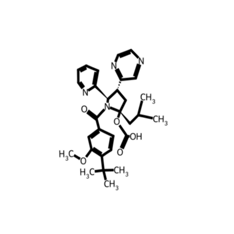 COc1cc(C(=O)N2[C@@H](c3ccccn3)[C@H](c3cnccn3)C[C@]2(CC(C)C)OC(=O)O)ccc1C(C)(C)C